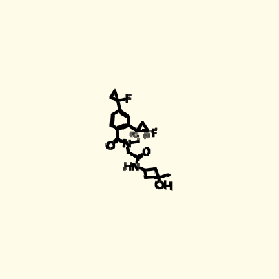 CC1(O)CC(NC(=O)CN2C[C@@]3(C[C@@H]3F)c3cc(C4(F)CC4)ccc3C2=O)C1